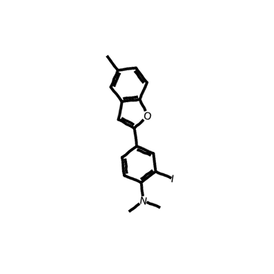 Cc1ccc2oc(-c3ccc(N(C)C)c(I)c3)cc2c1